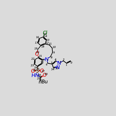 C=CCn1cc(CN2CCCCc3cc(Cl)ccc3COc3ccc(S(=O)(=O)NC(=O)CCCC)cc32)cn1